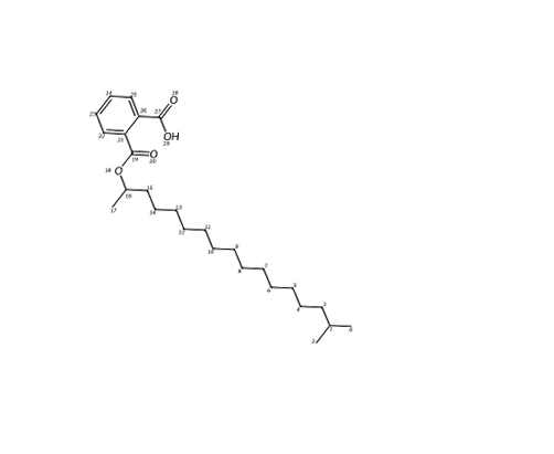 CC(C)CCCCCCCCCCCCCC(C)OC(=O)c1ccccc1C(=O)O